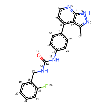 Cc1n[nH]c2nccc(-c3ccc(NC(=O)NCc4ccccc4F)cc3)c12